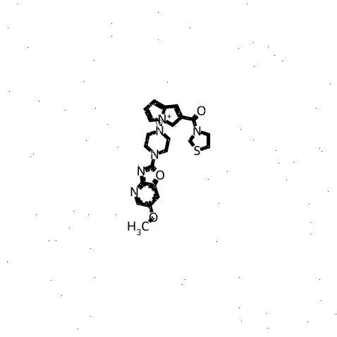 COc1cnc2nc(N3CCN([N@@+]45C=CC=C4C=C(C(=O)N4CCSC4)C5)CC3)oc2c1